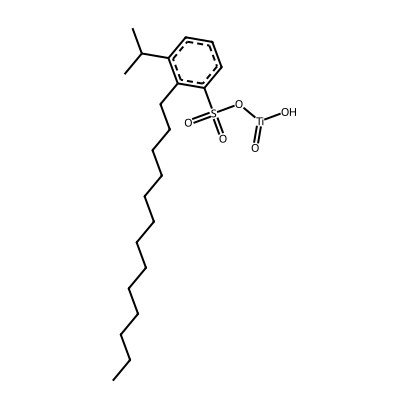 CCCCCCCCCCCCCc1c(C(C)C)cccc1S(=O)(=O)[O][Ti](=[O])[OH]